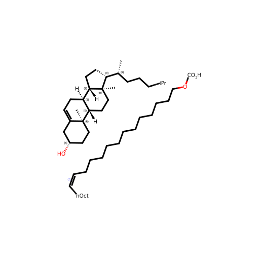 CC(C)CCC[C@@H](C)[C@H]1CC[C@H]2[C@@H]3CC=C4C[C@@H](O)CC[C@]4(C)[C@H]3CC[C@]12C.CCCCCCCC/C=C\CCCCCCCCCCCCOC(=O)O